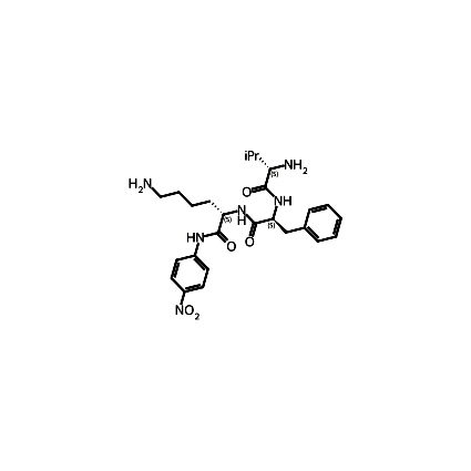 CC(C)[C@H](N)C(=O)N[C@@H](Cc1ccccc1)C(=O)N[C@@H](CCCCN)C(=O)Nc1ccc([N+](=O)[O-])cc1